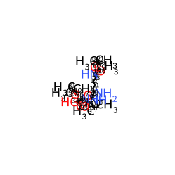 CC[C@H](C)[C@H](NC(=O)[C@@H](N)CCCCNC(=O)OC(C)(C)C)C(=O)N[C@@H](COC(C)(C)C)C(=O)O